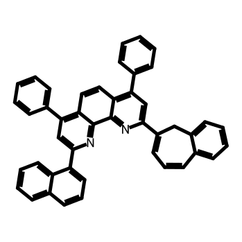 C1=Cc2ccccc2CC(c2cc(-c3ccccc3)c3ccc4c(-c5ccccc5)cc(-c5cccc6ccccc56)nc4c3n2)=C1